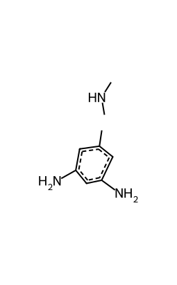 CNC.Cc1cc(N)cc(N)c1